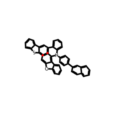 c1ccc(N(c2ccc(-c3ccc4ccccc4c3)cc2)c2cccc3oc4ccccc4c23)c(-c2ccc3sc4ccccc4c3c2)c1